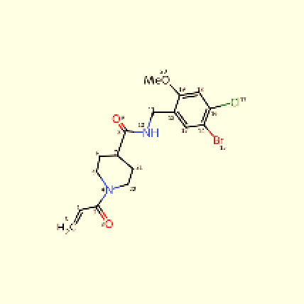 C=CC(=O)N1CCC(C(=O)NCc2cc(Br)c(Cl)cc2OC)CC1